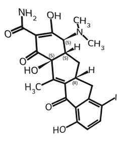 CC1=C2C(=O)c3c(O)ccc(I)c3C[C@H]2C[C@H]2[C@H](N(C)C)C(O)=C(C(N)=O)C(=O)[C@@]12O